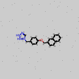 C1=NNNN1Cc1ccc(OCc2ccc3ccccc3c2)cc1